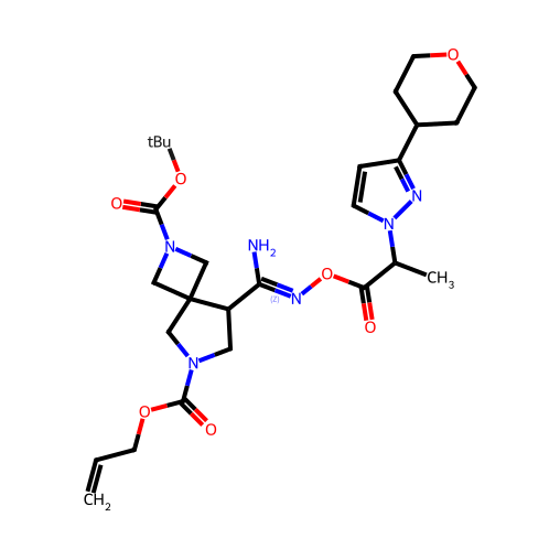 C=CCOC(=O)N1CC(/C(N)=N/OC(=O)C(C)n2ccc(C3CCOCC3)n2)C2(C1)CN(C(=O)OC(C)(C)C)C2